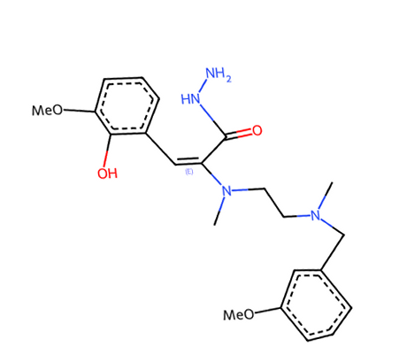 COc1cccc(CN(C)CCN(C)/C(=C/c2cccc(OC)c2O)C(=O)NN)c1